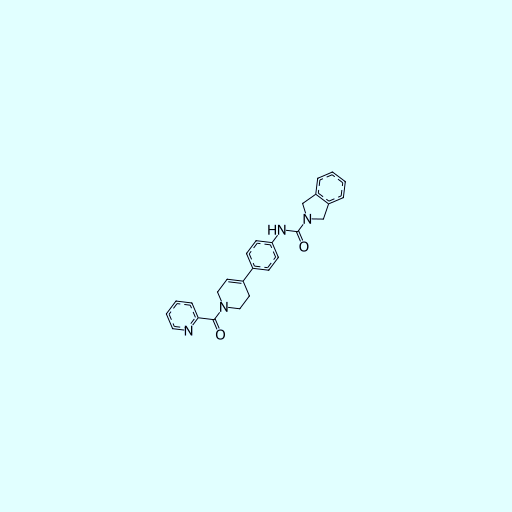 O=C(Nc1ccc(C2=CCN(C(=O)c3ccccn3)CC2)cc1)N1Cc2ccccc2C1